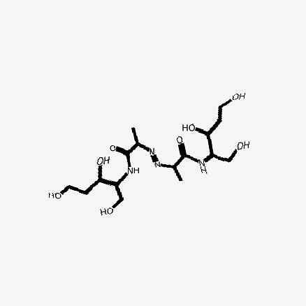 CC(N=NC(C)C(=O)NC(CO)C(O)CCO)C(=O)NC(CO)C(O)CCO